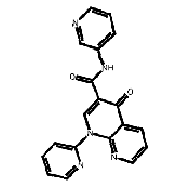 O=C(Nc1cccnc1)c1cn(-c2ccccn2)c2ncccc2c1=O